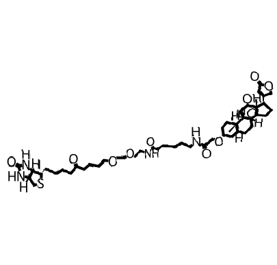 C[C@]12CC[C@H](OCC(=O)NCCCCCC(=O)NCCOCCOCCCCC(=O)CCCC[C@@H]3SC[C@@H]4NC(=O)N[C@@H]43)C[C@H]1CC[C@@H]1[C@@H]2C[C@@H](O)[C@]2(C)[C@@H](C3=CC(=O)OC3)CC[C@]12O